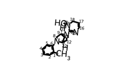 Cc1ccccc1N1C[C@@H]2C[C@H]1CN2C1=NC=CCN1O